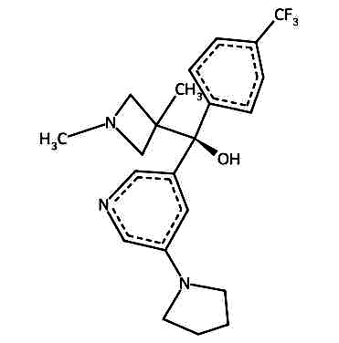 CN1CC(C)([C@](O)(c2ccc(C(F)(F)F)cc2)c2cncc(N3CCCC3)c2)C1